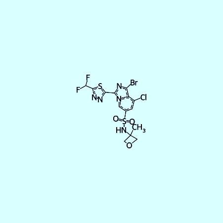 CC1(NS(=O)(=O)c2cc(Cl)c3c(Br)nc(-c4nnc(C(F)F)s4)n3c2)COC1